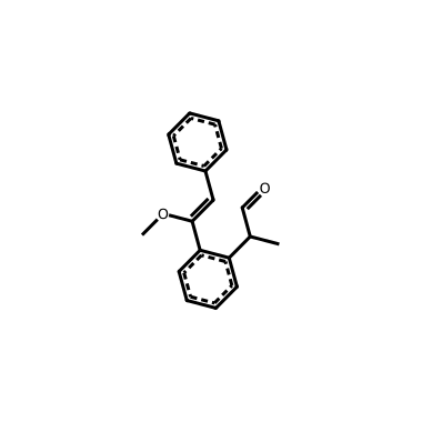 COC(=Cc1ccccc1)c1ccccc1C(C)C=O